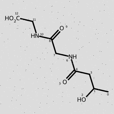 CC(O)CC(=O)NCC(=O)NCC(=O)O